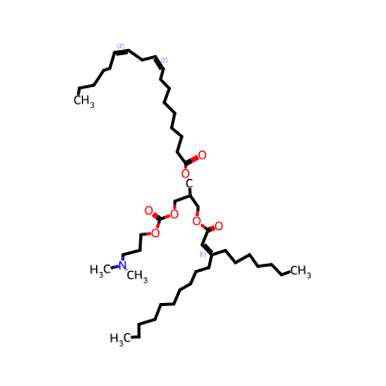 CCCCC/C=C\C/C=C\CCCCCCCC(=O)OCC(COC(=O)/C=C(\CCCCCCC)CCCCCCCCCC)COC(=O)OCCCN(C)C